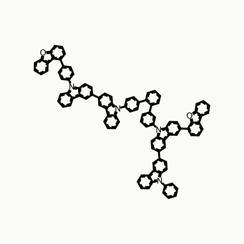 c1ccc(-n2c3ccccc3c3cc(-c4ccc5c(c4)c4cc(-c6cccc7c6oc6ccccc67)ccc4n5-c4cccc(-c5ccccc5-c5ccc(-n6c7ccccc7c7cc(-c8ccc9c(c8)c8ccccc8n9-c8ccc(-c9cccc%10oc%11ccccc%11c9%10)cc8)ccc76)cc5)c4)ccc32)cc1